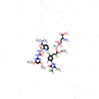 CCOC(=O)C(Cl)Cc1cc(-n2nc(C)n(C(F)F)c2=O)c(F)cc1Cl.COc1cc(OC)nc(NC(=O)NS(=O)(=O)c2ncccc2C(=O)N(C)C)n1.CP(=O)(O)CCC(N)C(=O)O